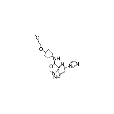 COCCOC1CCC(NC(=O)c2nc(-n3ccnc3)cc3cnn(C)c23)CC1